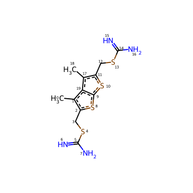 Cc1c(CSC(=N)N)sc2sc(CSC(=N)N)c(C)c12